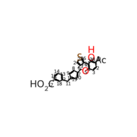 CC(=O)c1ccc(OCc2ccc(Cc3cccc(C(=O)O)c3)cc2)c(-c2ccsc2)c1O